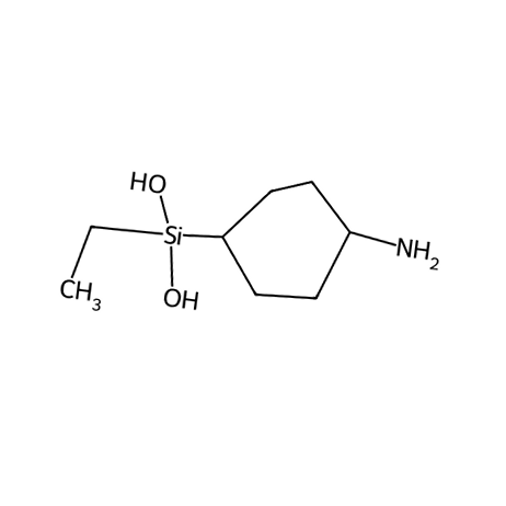 CC[Si](O)(O)C1CCC(N)CC1